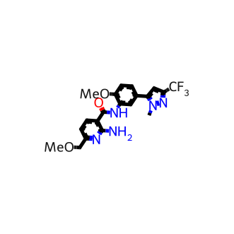 COCc1ccc(C(=O)Nc2cc(-c3cc(C(F)(F)F)nn3C)ccc2OC)c(N)n1